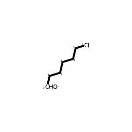 O=[C]CCCCCCl